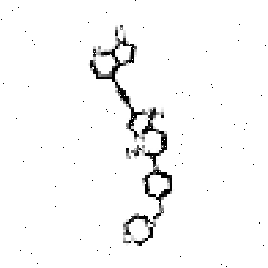 N=C(/C=C\c1ncc(C#Cc2ccnc3[nH]ccc23)[nH]1)c1ccc(CN2CCOCC2)cc1